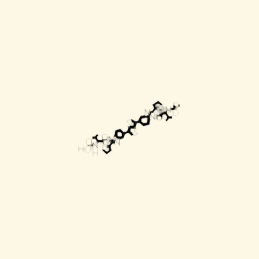 COC(=O)N[C@H](C(=O)N1CCCC1c1nc2cc(-c3csc4c(-c5ccc6[nH]c(C7CCCN7C(=O)[C@@H](NC(=O)O)C(C)C)nc6c5)csc34)ccc2[nH]1)C(C)C